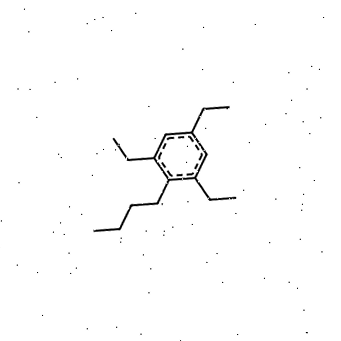 CCC[CH]c1c(CC)cc(CC)cc1CC